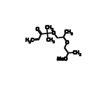 C=CC(=O)C(C)(C)OCC(C)OCC(C)OC